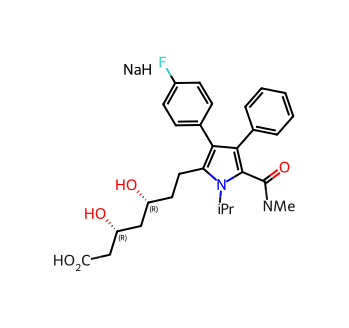 CNC(=O)c1c(-c2ccccc2)c(-c2ccc(F)cc2)c(CC[C@@H](O)C[C@@H](O)CC(=O)O)n1C(C)C.[NaH]